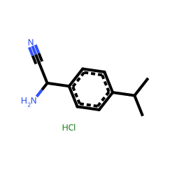 CC(C)c1ccc(C(N)C#N)cc1.Cl